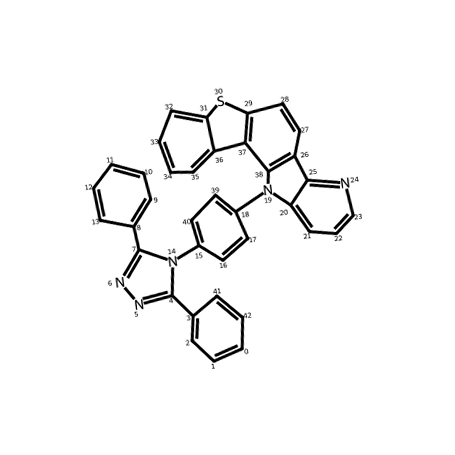 c1ccc(-c2nnc(-c3ccccc3)n2-c2ccc(-n3c4cccnc4c4ccc5sc6ccccc6c5c43)cc2)cc1